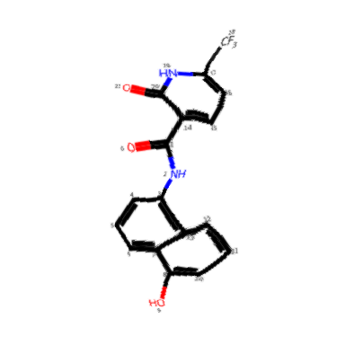 O=C(Nc1cccc2c(O)cccc12)c1ccc(C(F)(F)F)[nH]c1=O